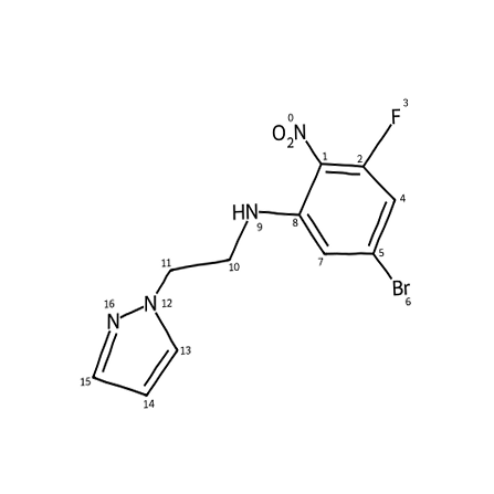 O=[N+]([O-])c1c(F)cc(Br)cc1NCCn1cccn1